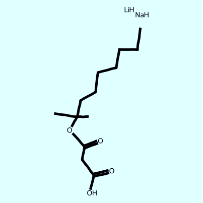 CCCCCCCC(C)(C)OC(=O)CC(=O)O.[LiH].[NaH]